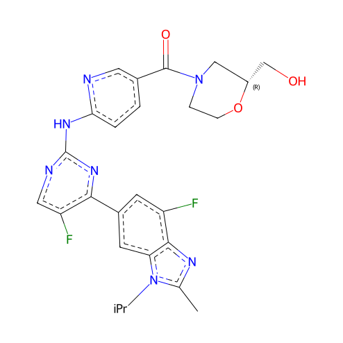 Cc1nc2c(F)cc(-c3nc(Nc4ccc(C(=O)N5CCO[C@@H](CO)C5)cn4)ncc3F)cc2n1C(C)C